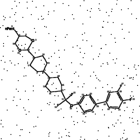 CCCCCC1COC(C2CCC(C3CCC(C(F)(F)Oc4ccc(-c5ccc(F)c(F)c5)cc4)CC3)CC2)OC1